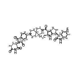 Cc1[nH]c2c(c1C(=O)N1CCC3(CC1)CCN(c1ccc4c(c1)C(=O)N(C1CCC(=O)NC1=O)C4=O)CC3)CC/C2=C1/C(=O)Nc2ccc(F)cc21